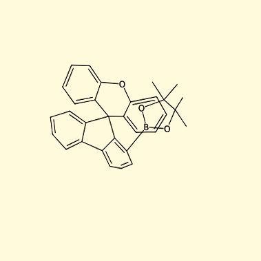 CC1(C)OB(c2cccc3c2C2(c4ccccc4Oc4ccccc42)c2ccccc2-3)OC1(C)C